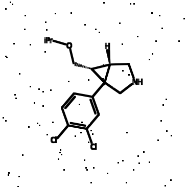 CC(C)OC[C@@H]1[C@@H]2CNCC12c1ccc(Cl)c(Cl)c1